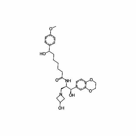 COc1ccc(C(O)CCCCCC(=O)N[C@H](CN2CC(O)C2)[C@H](O)c2ccc3c(c2)OCCO3)cc1